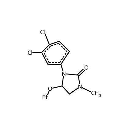 CCOC1CN(C)C(=O)N1c1ccc(Cl)c(Cl)c1